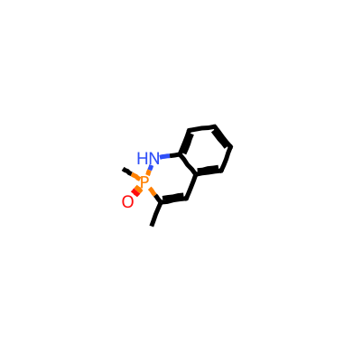 CC1=Cc2ccccc2NP1(C)=O